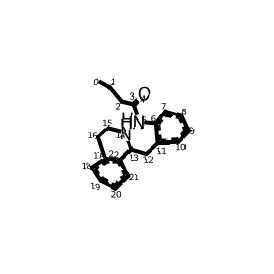 CCCC(=O)Nc1ccccc1CC1NCCc2ccccc21